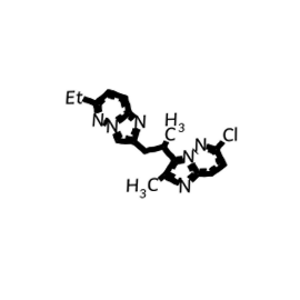 CCc1ccc2nc(CC(C)c3c(C)nc4ccc(Cl)nn34)cn2n1